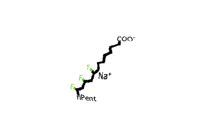 CCCCCC(F)CC(F)CC(F)CCCCCCCC(=O)[O-].[Na+]